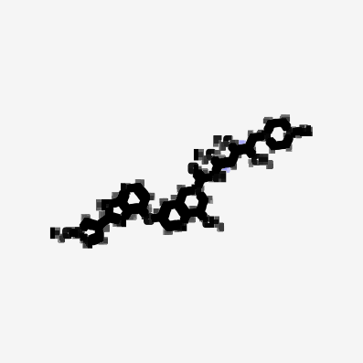 CCN1CCN(C/C(C)=C(/C=C(\C)NC(=O)N2Cc3cc(Oc4ccnc5[nH]c(-c6cnn(C)c6)nc45)cnc3C(C)C2)C(F)(F)F)CC1